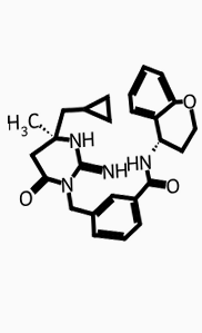 C[C@@]1(CC2CC2)CC(=O)N(Cc2cccc(C(=O)N[C@H]3CCOc4ccccc43)c2)C(=N)N1